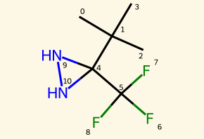 CC(C)(C)C1(C(F)(F)F)NN1